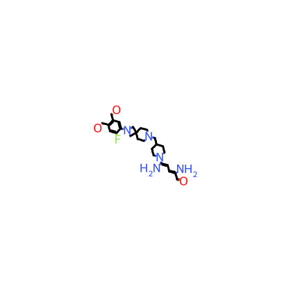 N/C(C=O)=C\C=C(/N)N1CCC(CN2CCC3(CC2)CN(c2cc(C=O)c(C=O)cc2F)C3)CC1